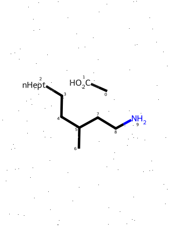 CC(=O)O.CCCCCCCCCC(C)CCN